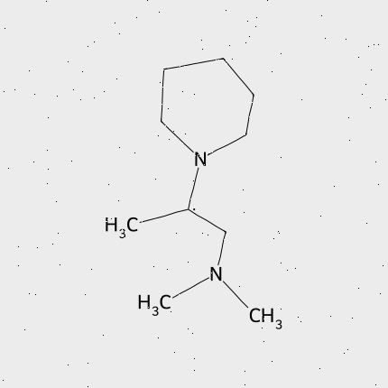 C[C](CN(C)C)N1CCCCC1